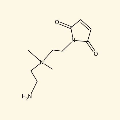 C[N+](C)(CCN)CCN1C(=O)C=CC1=O